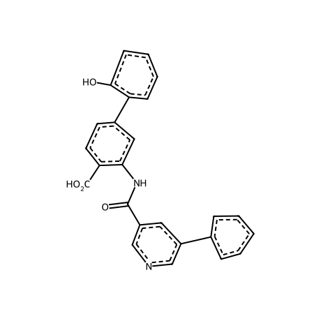 O=C(Nc1cc(-c2ccccc2O)ccc1C(=O)O)c1cncc(-c2ccccc2)c1